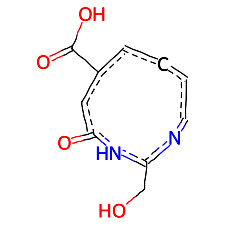 O=C(O)c1ccccnc(CO)[nH]c(=O)c1